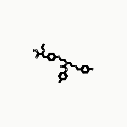 CCOC(Cc1ccc(OCCN(CCOCc2ccc(F)cc2)C(=O)Oc2ccc(C)cc2)cc1)C(=O)O